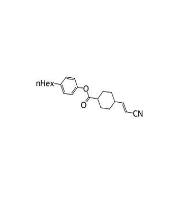 CCCCCCc1ccc(OC(=O)C2CCC(/C=C/C#N)CC2)cc1